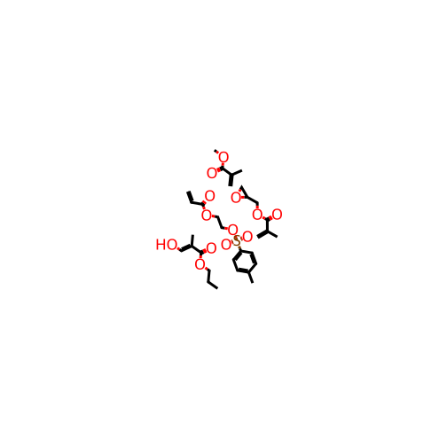 C=C(C)C(=O)OC.C=C(C)C(=O)OCC1CO1.C=CC(=O)OCCOS(=O)(=O)c1ccc(C)cc1.CCCOC(=O)C(C)=CO